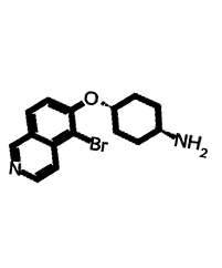 N[C@H]1CC[C@H](Oc2ccc3cnccc3c2Br)CC1